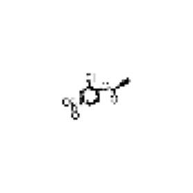 C#CC(=O)Oc1ccc([N+](=O)[O-])cc1Cl